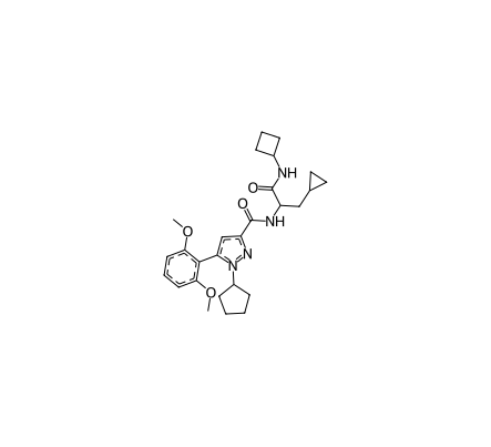 COc1cccc(OC)c1-c1cc(C(=O)NC(CC2CC2)C(=O)NC2CCC2)nn1C1CCCC1